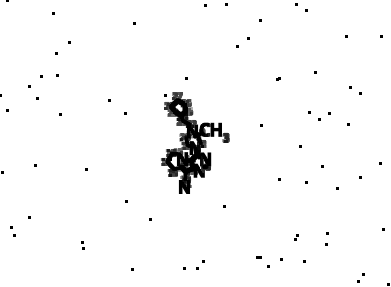 CC1CN(c2ncnc3c(C#N)c4n(c23)CCCC4)CCN1CCc1ccccc1